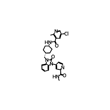 CNC(=O)c1cc(-n2c(=O)n(C[C@H]3CC[C@H](NC(=O)c4cc(Cl)cnc4C)CC3)c3ccccc32)ccn1